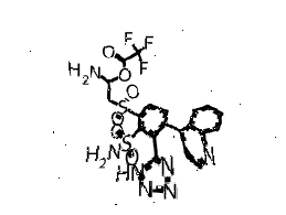 NC(CS(=O)(=O)c1ccc(-c2ccnc3ccccc23)c(-c2nnn[nH]2)c1S(N)(=O)=O)OC(=O)C(F)(F)F